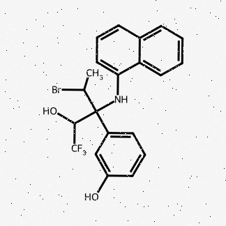 CC(Br)C(Nc1cccc2ccccc12)(c1cccc(O)c1)C(O)C(F)(F)F